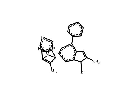 CC1=C2c3cocc3C1[Si]2(C)C.CC1=Cc2c(-c3ccccc3)cccc2[CH]1[Zr]